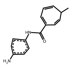 CC1C=CC=C(C(=O)Nc2ccc(N)cc2)C=C1